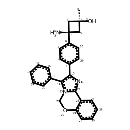 C[C@]1(O)C[C@](N)(c2ccc(-c3nc4n(c3-c3ccccc3)COc3ccccc3-4)cc2)C1